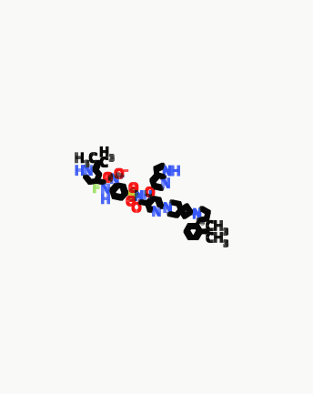 CC(C)=C1CC(F)(CNc2ccc(S(=O)(=O)NC(=O)c3cnc(N4CCC5(CC4)CC(N4CCC[C@H]4c4ccccc4C(C)C)C5)cc3Oc3cnc4[nH]ccc4c3)cc2[N+](=O)[O-])CCN1